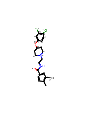 Cc1ccc(C(=O)NCCN2CCC(Oc3ccc(Cl)c(Cl)c3)CC2)cc1[N+](=O)[O-]